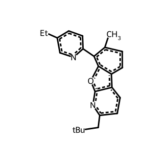 CCc1ccc(-c2c(C)ccc3c2oc2nc(CC(C)(C)C)ccc23)nc1